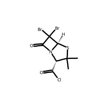 CC1(C)S[C@H]2N(C(=O)C2(Br)Br)[C@H]1C(=O)Cl